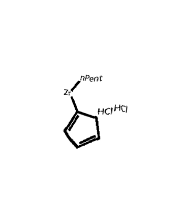 CCCC[CH2][Zr][C]1=CC=CC1.Cl.Cl